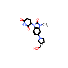 Cn1c(=O)n(C2CCC(=O)NC2=O)c2ccc(N3CC[C@H](CO)C3)cc21